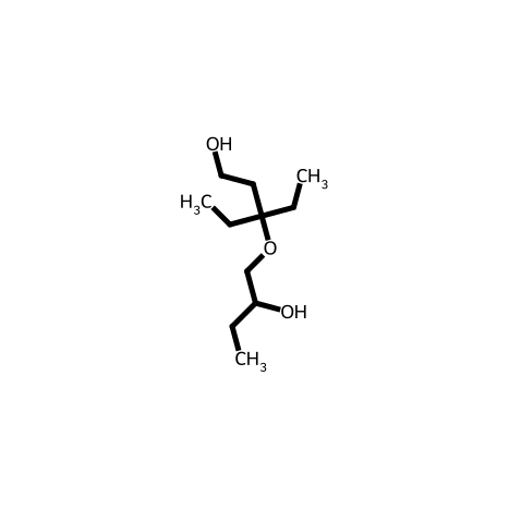 CCC(O)COC(CC)(CC)CCO